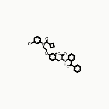 O=C(c1ccccc1)c1ccccc1N[C@@H](Cc1ccc(OCCN(C(=O)C2CCC2)c2cccc(Cl)c2)cc1)C(=O)O